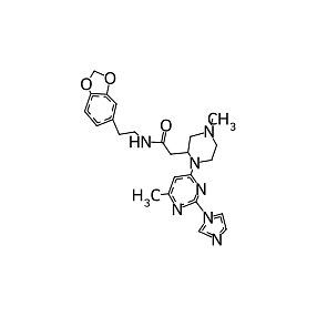 Cc1cc(N2CCN(C)CC2CC(=O)NCCc2ccc3c(c2)OCO3)nc(-n2ccnc2)n1